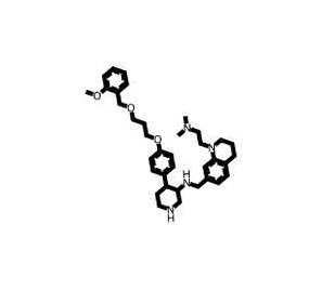 COc1ccccc1COCCCOc1ccc(C2CCNCC2NCc2ccc3c(c2)N(CCN(C)C)CCC3)cc1